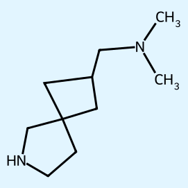 CN(C)CC1CC2(CCNC2)C1